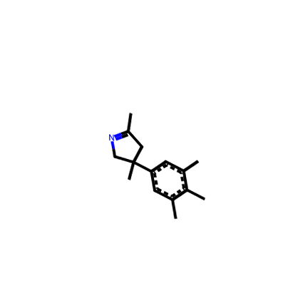 CC1=NCC(C)(c2cc(C)c(C)c(C)c2)C1